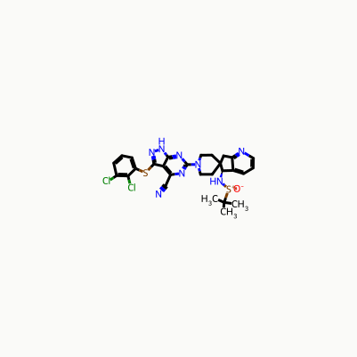 CC(C)(C)[S+]([O-])N[C@@H]1c2cccnc2CC12CCN(c1nc(C#N)c3c(Sc4cccc(Cl)c4Cl)n[nH]c3n1)CC2